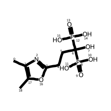 Cc1nc(CCC(O)(P(=O)(O)O)P(=O)(O)O)oc1C